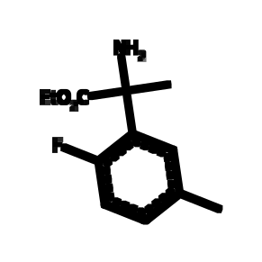 CCOC(=O)C(C)(N)c1cc(C)ccc1F